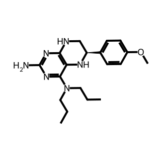 CCCN(CCC)c1nc(N)nc2c1N[C@H](c1ccc(OC)cc1)CN2